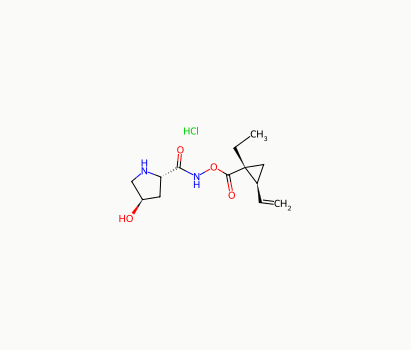 C=C[C@@H]1C[C@@]1(CC)C(=O)ONC(=O)[C@@H]1C[C@@H](O)CN1.Cl